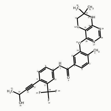 Cc1ccc(C(=O)Nc2ccc(C#CC(C)O)c(C(F)(F)F)c2)cc1Oc1ncnc2c1OCC(C)(C)N2